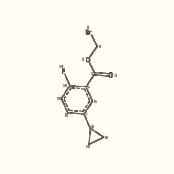 O=C(OCBr)c1cc(C2CC2)ccc1F